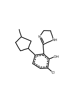 CC1CCC(c2ccc(Cl)c(O)c2C2=NCCN2)C1